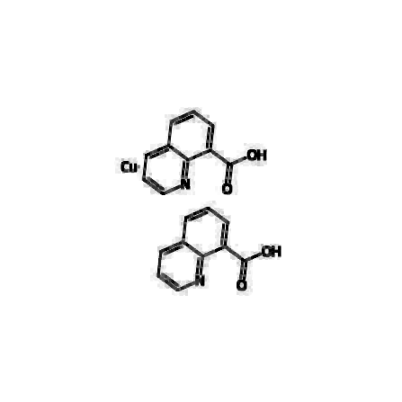 O=C(O)c1cccc2cccnc12.O=C(O)c1cccc2cccnc12.[Cu]